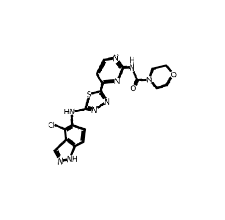 O=C(Nc1nccc(-c2nnc(Nc3ccc4[nH]ncc4c3Cl)s2)n1)N1CCOCC1